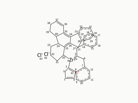 C1=CC[C]([Zr+2](=[C](Cc2ccccc2)Cc2ccccc2)[CH]2CCCC3C2=C2Cc4ccccc4C2=C2C=CCCC23)=C1.[Cl-].[Cl-]